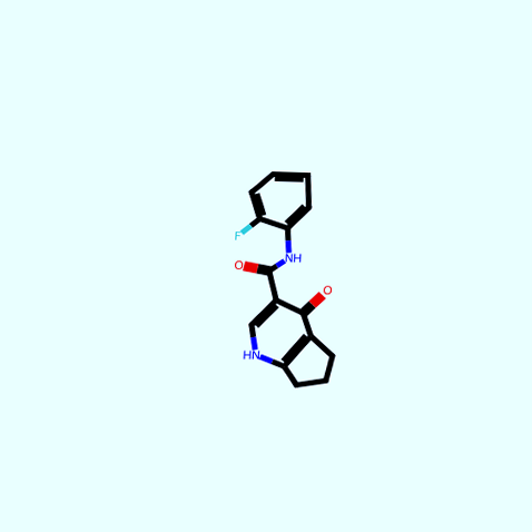 O=C(Nc1ccccc1F)c1c[nH]c2c(c1=O)CCC2